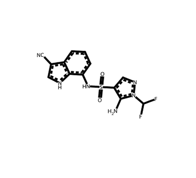 N#Cc1c[nH]c2c(NS(=O)(=O)c3cnn(C(F)F)c3N)cccc12